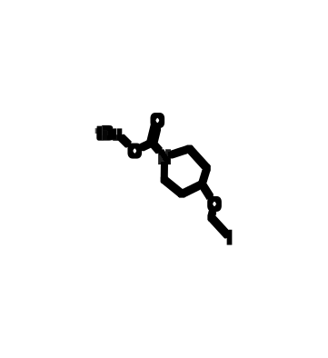 CC(C)(C)OC(=O)N1CCC(OCI)CC1